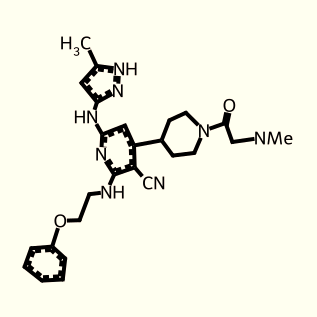 CNCC(=O)N1CCC(c2cc(Nc3cc(C)[nH]n3)nc(NCCOc3ccccc3)c2C#N)CC1